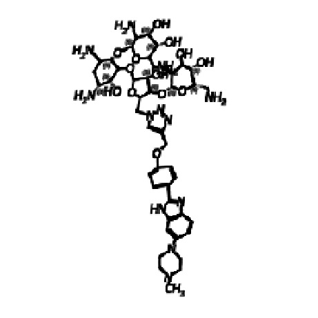 CN1CCN(c2ccc3nc(-c4ccc(OCc5cn(CC6OC(OC7[C@H](O[C@@H]8OC(CN)[C@@H](O)[C@H](O)C8N)C(N)C[C@@H](N)[C@H]7O)[C@@H](O)[C@H]6O[C@H]6O[C@@H](CN)[C@@H](O)C(O)C6N)nn5)cc4)[nH]c3c2)CC1